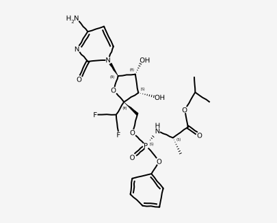 CC(C)OC(=O)[C@H](C)N[P@](=O)(OC[C@@]1(C(F)F)O[C@@H](n2ccc(N)nc2=O)[C@H](O)[C@@H]1O)Oc1ccccc1